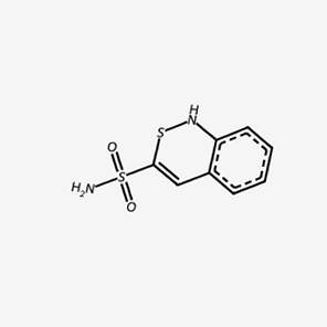 NS(=O)(=O)C1=Cc2ccccc2NS1